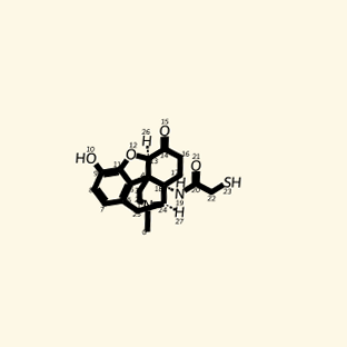 CN1CCC23c4c5ccc(O)c4O[C@H]2C(=O)CC[C@@]3(NC(=O)CS)[C@H]1C5